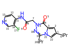 CC(C)c1cc2c(=O)n(CC(=O)Nc3ccncc3F)nc(C(C)C)n2c1